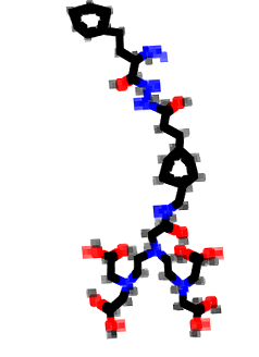 NC(CCc1ccccc1)C(=O)NNC(=O)CCc1ccc(CNC(=O)CN(CCN(CC(=O)O)CC(=O)O)CCN(CC(=O)O)CC(=O)O)cc1